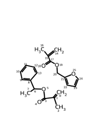 C=C(C)C(=O)OC(C)c1ccccc1.C=C(C)C(=O)OCc1ccco1